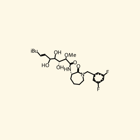 CCC(C)/C=C/C(O)C(O)[C@@H](O)[C@@H](OC)C(=O)N[C@H]1CCCCN(Cc2cc(F)cc(F)c2)C1=O